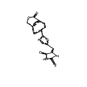 O=C1NC(=S)NC1=Cc1cnc(-c2ccc3c(c2)COC3=O)s1